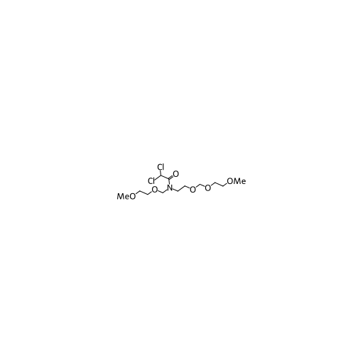 COCCOCOCCN(COCCOC)C(=O)C(Cl)Cl